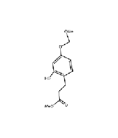 COCOc1ccc(CCC(=O)OC)c(O)c1